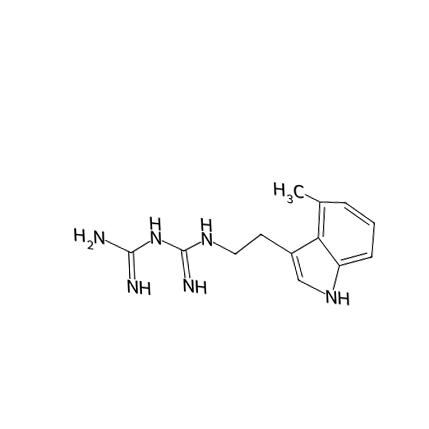 Cc1cccc2[nH]cc(CCNC(=N)NC(=N)N)c12